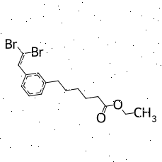 CCOC(=O)CCCCCc1cccc(C=C(Br)Br)c1